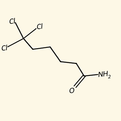 NC(=O)CCCCC(Cl)(Cl)Cl